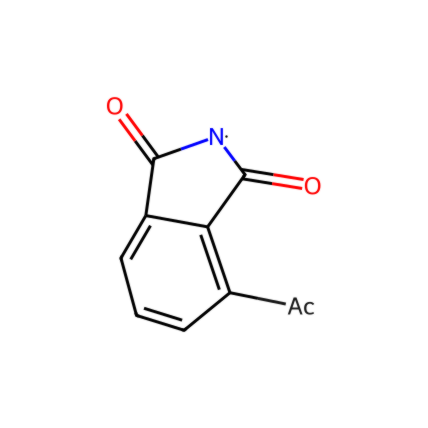 CC(=O)c1cccc2c1C(=O)[N]C2=O